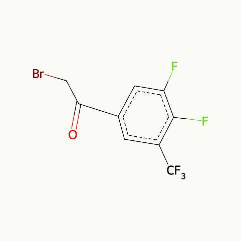 O=C(CBr)c1cc(F)c(F)c(C(F)(F)F)c1